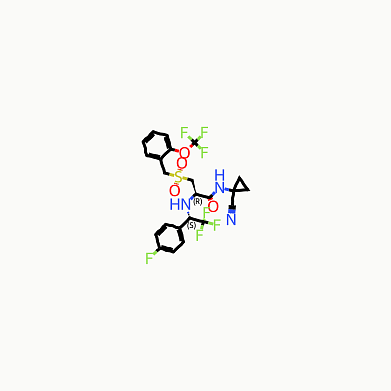 N#CC1(NC(=O)[C@H](CS(=O)(=O)Cc2ccccc2OC(F)(F)F)N[C@@H](c2ccc(F)cc2)C(F)(F)F)CC1